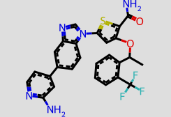 CC(Oc1cc(-n2cnc3cc(-c4ccnc(N)c4)ccc32)sc1C(N)=O)c1ccccc1C(F)(F)F